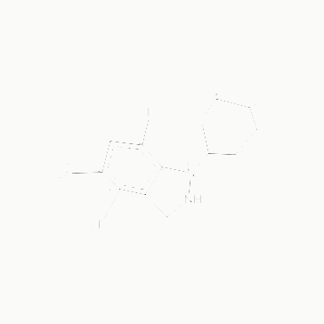 Fc1cc(Br)c(F)c2c1N(C1CCCCO1)NC2